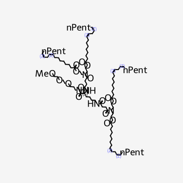 CCCCC/C=C\C/C=C\CCCCCCCC(=O)OCCN(CCOC(=O)CCCCCCC/C=C\C/C=C\CCCCC)C(=O)CCC(=O)NCCCC[C@H](NC(=O)CCC(=O)N(CCOC(=O)CCCCCCC/C=C\C/C=C\CCCCC)CCOC(=O)CCCCCCC/C=C\C/C=C\CCCCC)C(=O)NCCCOCCOCCOC